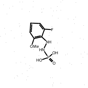 COc1cccc(F)c1NNP(=O)(O)O